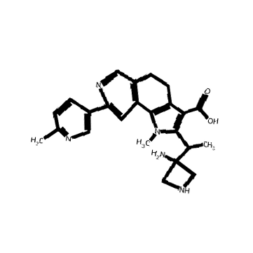 Cc1ccc(-c2cc3c(cn2)CCc2c(C(=O)O)c(C(C)C4(N)CNC4)n(C)c2-3)cn1